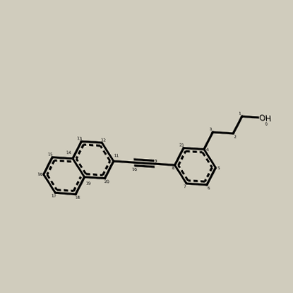 OCCCc1cccc(C#Cc2ccc3ccccc3c2)c1